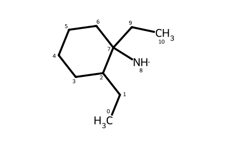 CCC1CCCCC1([NH])CC